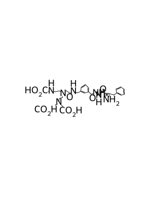 N[C@H](CCc1ccccc1)C(=O)NNC(=O)c1cccc(CNC(=O)CN(CCNCC(=O)O)CCN(CC(=O)O)CC(=O)O)c1